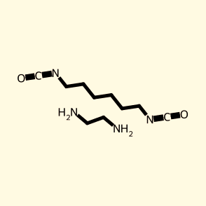 NCCN.O=C=NCCCCCCN=C=O